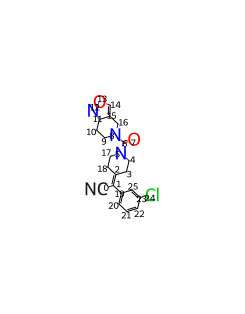 N#CC(=C1CCN(C(=O)N2CCc3nocc3C2)CC1)c1cccc(Cl)c1